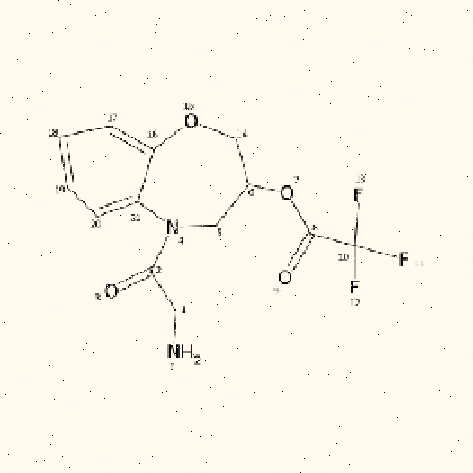 NCC(=O)N1CC(OC(=O)C(F)(F)F)COc2ccccc21